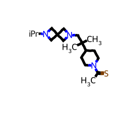 CC(=S)N1CCC(C(C)(C)CN2CC3(C2)CN(C(C)C)C3)CC1